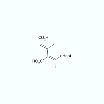 CCCCCCC/C(C)=C(C(=O)O)\C(C)=C\C(=O)O